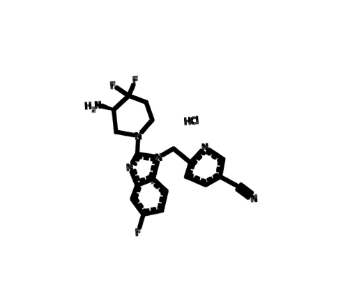 Cl.N#Cc1ccc(Cn2c(N3CCC(F)(F)[C@H](N)C3)nc3cc(F)ccc32)nc1